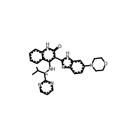 CC(C)[C@@H](Nc1c(-c2nc3ccc(N4CCOCC4)cc3[nH]2)c(=O)[nH]c2ccccc12)c1ncccn1